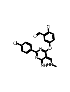 CN/C=C1\C(=N)N=C(c2ccc(Cl)cc2)N=C1Oc1ccc(Cl)c(C=O)c1